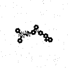 CC1(C)c2ccccc2-c2ccc(-c3ccc(-n4c5ccccc5c5cc(-c6cnc(-c7nc(-c8ccccc8)nc(-c8ccccc8)n7)cn6)ccc54)cc3)cc21